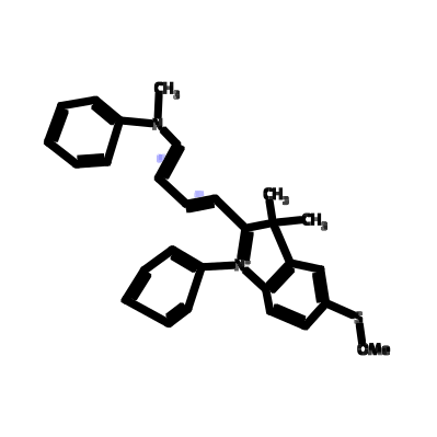 COSc1ccc2c(c1)C(C)(C)C(/C=C/C=C/N(C)c1ccccc1)=[N+]2c1ccccc1